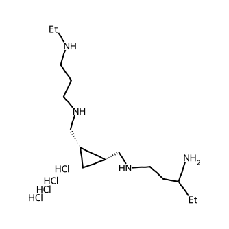 CCNCCCNC[C@H]1C[C@H]1CNCCC(N)CC.Cl.Cl.Cl.Cl